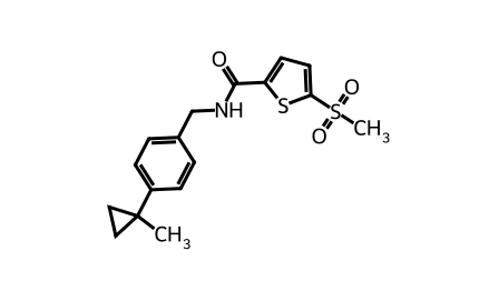 CC1(c2ccc(CNC(=O)c3ccc(S(C)(=O)=O)s3)cc2)CC1